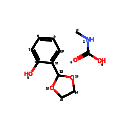 CNC(=O)O.Oc1ccccc1C1OCCO1